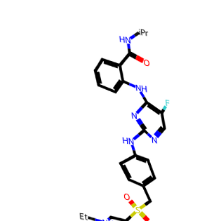 CCNCCS(=O)(=O)Cc1ccc(Nc2ncc(F)c(Nc3ccccc3C(=O)NC(C)C)n2)cc1